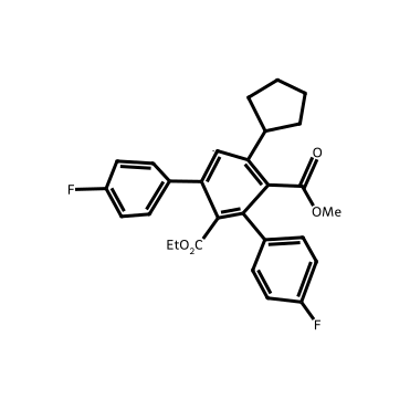 CCOC(=O)c1c(-c2ccc(F)cc2)[c]c(C2CCCC2)c(C(=O)OC)c1-c1ccc(F)cc1